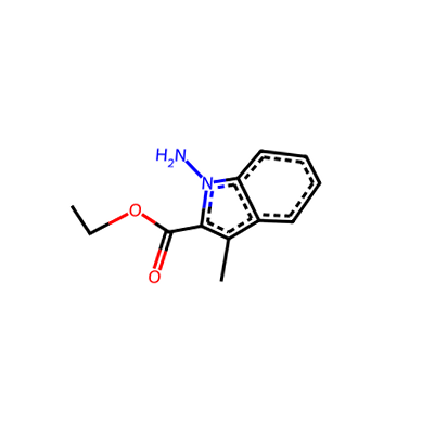 CCOC(=O)c1c(C)c2ccccc2n1N